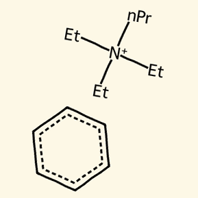 CCC[N+](CC)(CC)CC.c1ccccc1